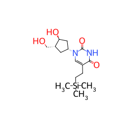 C[Si](C)(C)CCc1cn([C@@H]2C[C@H](CO)[C@@H](O)C2)c(=O)[nH]c1=O